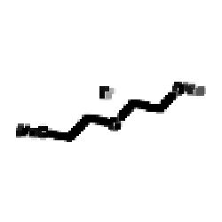 COCCOCCOC.[Er]